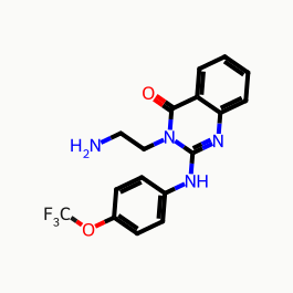 NCCn1c(Nc2ccc(OC(F)(F)F)cc2)nc2ccccc2c1=O